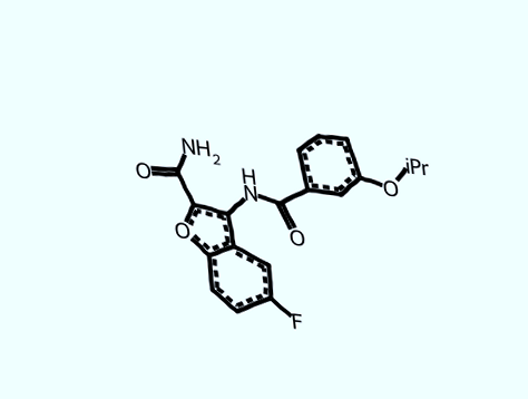 CC(C)Oc1cccc(C(=O)Nc2c(C(N)=O)oc3ccc(F)cc23)c1